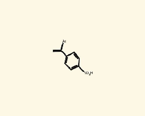 C=C(C(C)=O)c1ccc(S(=O)(=O)O)cc1